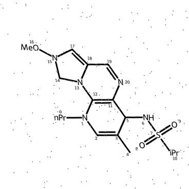 CCCN1C=C(C)C(NS(=O)(=O)C(C)C)C2=C1N1CN(OC)C=C1C=N2